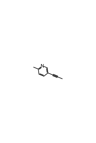 CC#Cc1ccc(C)nc1